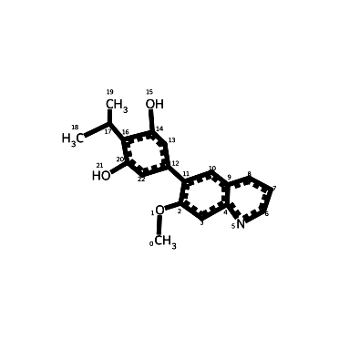 COc1cc2ncccc2cc1-c1cc(O)c(C(C)C)c(O)c1